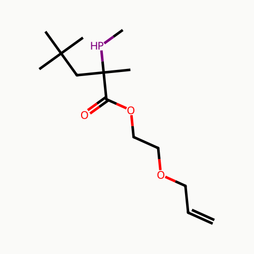 C=CCOCCOC(=O)C(C)(CC(C)(C)C)PC